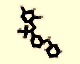 CCS(=O)(=O)N(Cc1ccc(C)nc1Cl)c1cccc(Oc2ccccc2)c1